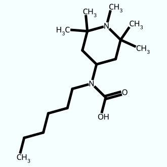 CCCCCCN(C(=O)O)C1CC(C)(C)N(C)C(C)(C)C1